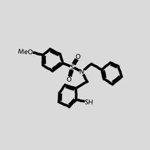 COc1ccc(S(=O)(=O)N(Cc2ccccc2)Cc2ccccc2S)cc1